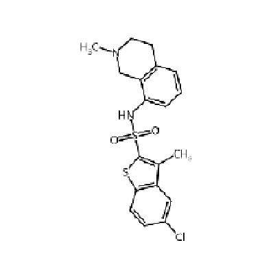 Cc1c(S(=O)(=O)Nc2cccc3c2CN(C)CC3)sc2ccc(Cl)cc12